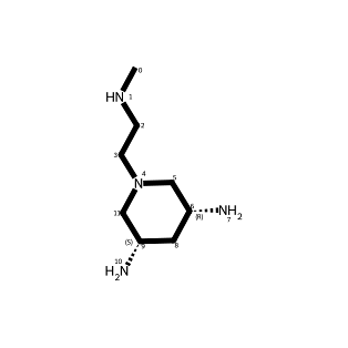 CNCCN1C[C@H](N)C[C@H](N)C1